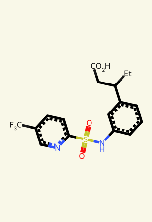 CCC(CC(=O)O)c1cccc(NS(=O)(=O)c2ccc(C(F)(F)F)cn2)c1